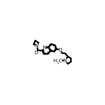 CN1CCCC1CCOc1ccc2nc(C(=O)N3CCC3)ccc2c1